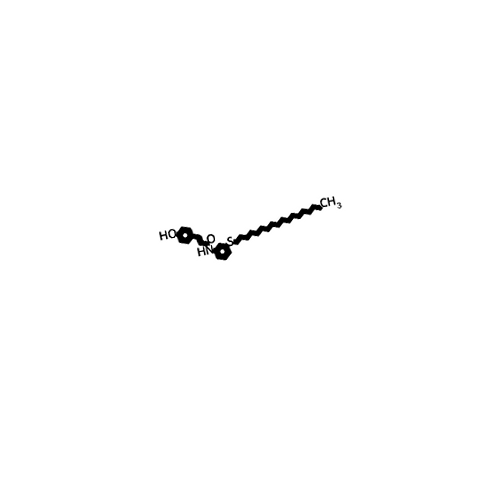 CCCCCCCCCCCCCCCCCCSc1cccc(NC(=O)C=Cc2ccc(O)cc2)c1